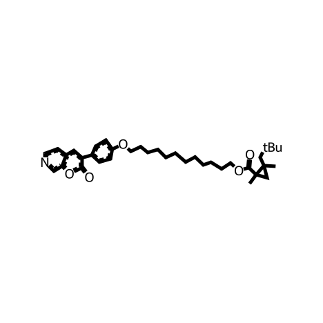 CC(C)(C)CC1(C)CC1(C)C(=O)OCCCCCCCCCCCCOc1ccc(-c2cc3ccncc3oc2=O)cc1